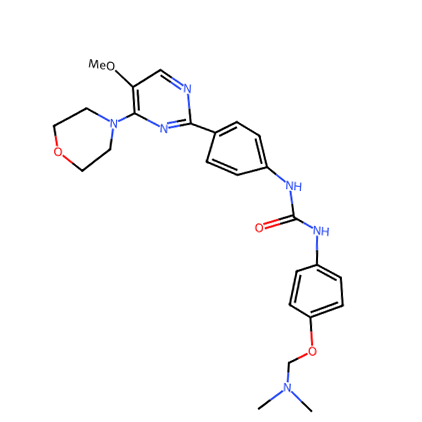 COc1cnc(-c2ccc(NC(=O)Nc3ccc(OCN(C)C)cc3)cc2)nc1N1CCOCC1